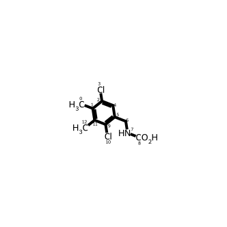 Cc1c(Cl)cc(CNC(=O)O)c(Cl)c1C